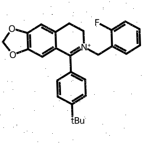 CC(C)(C)c1ccc(C2=[N+](Cc3ccccc3F)CCc3cc4c(cc32)OCO4)cc1